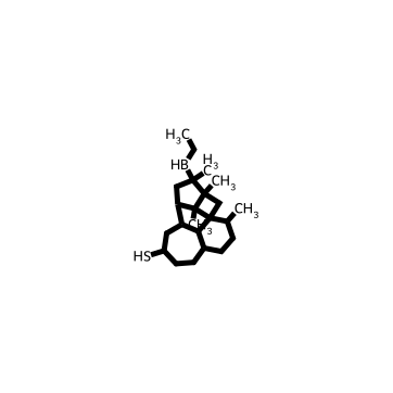 CCBC1(C)CC2C3CC(S)CCC4CCC(C)C5(CC1(C)C25C)C43